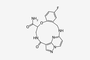 NC(=O)C1CNC(=O)c2cnn3ccc(nc23)NCc2cc(F)ccc2O1